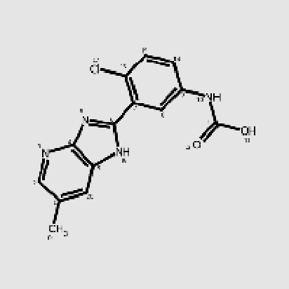 Cc1cnc2nc(-c3cc(NC(=O)O)ccc3Cl)[nH]c2c1